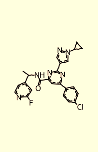 CC(NC(=O)c1cc(-c2ccc(Cl)cc2)nc(-c2cnn(C3CC3)c2)n1)c1ccnc(F)c1